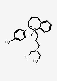 CCN(CC)CCC[C@]1(O)c2ccccc2CCC[C@H]1c1ccc(C)cc1